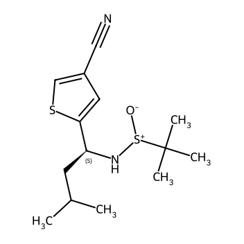 CC(C)C[C@H](N[S+]([O-])C(C)(C)C)c1cc(C#N)cs1